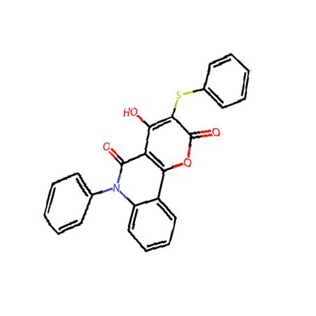 O=c1oc2c(c(O)c1Sc1cc[c]cc1)c(=O)n(-c1ccccc1)c1ccccc21